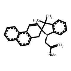 C=C(CN1c2ccccc2C(C)(C)C12C=Cc1c(ccc3ccccc13)C2)NC